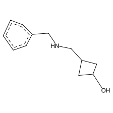 OC1CC(CNCc2ccccc2)C1